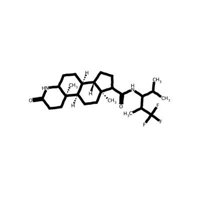 CC(C)C(NC(=O)C1CC[C@H]2[C@@H]3CCC4NC(=O)CC[C@]4(C)[C@@H]3CC[C@]12C)C(C)C(F)(F)F